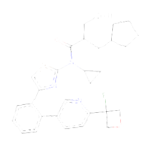 O=C(O)CC(CC1CCCC1)C(=O)N(c1nc(-c2ccccc2-c2ccc(C3(F)COC3)nc2)cs1)C1CC1